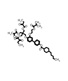 C=C(C)C(=O)OCCOc1cc(-c2ccc(OC(=O)C3CCC(CCCCC)CC3)cc2)ccc1OCC(COC(=O)C(=C)C)(COC(=O)C(=O)CC)COC(=O)C(=O)CC